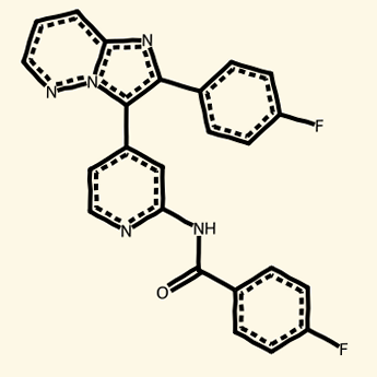 O=C(Nc1cc(-c2c(-c3ccc(F)cc3)nc3cccnn23)ccn1)c1ccc(F)cc1